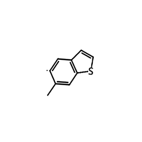 Cc1[c]cc2ccsc2c1